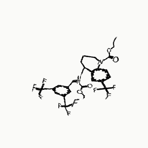 CCOC(=O)N1CCCC(N(Cc2cc(C(F)(F)F)cc(C(F)(F)F)c2)C(=O)OC)c2cc(C(F)(F)F)ccc21